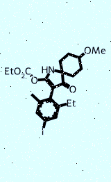 CCOC(=O)OC1=C(c2c(C)cc(I)cc2CC)C(=O)C2(CCC(OC)CC2)N1